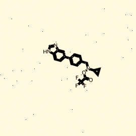 O=C(ON(Cc1ccc(-c2ccc3[nH]cnc3c2)cc1)C1CC1)C(F)(F)F